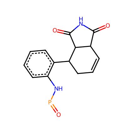 O=PNc1ccccc1C1CC=CC2C(=O)NC(=O)C21